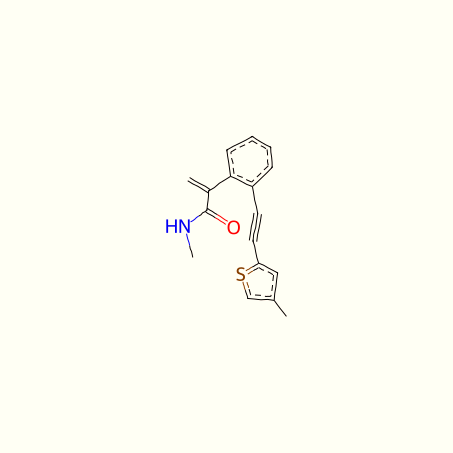 C=C(C(=O)NC)c1ccccc1C#Cc1cc(C)cs1